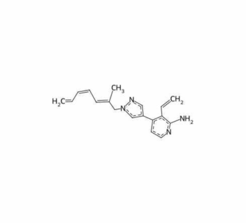 C=C/C=C\C=C(/C)Cn1cc(-c2ccnc(N)c2C=C)cn1